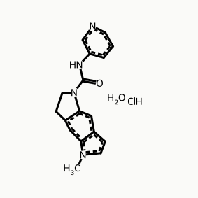 Cl.Cn1ccc2cc3c(cc21)CCN3C(=O)Nc1cccnc1.O